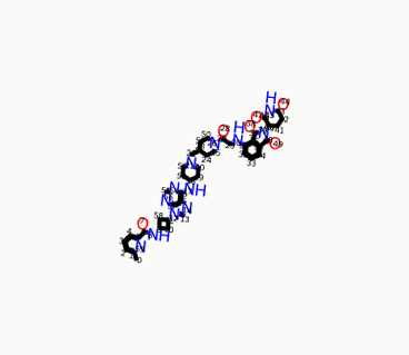 Cc1cccc(C(=O)NC2CC(n3cnc4c(NC5CCN(CC6CCN(C(=O)CNc7cccc8c7C(=O)N([C@H]7CCC(=O)NC7=O)C8=O)CC6)CC5)ncnc43)C2)n1